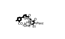 CCCCC[C@@H](C(=O)NCNC(=O)c1ccc(-c2ccc(C)c(C(=O)O)c2)o1)[C@@H](CC)N(O)C=O